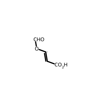 O=CO/[C]=C/C(=O)O